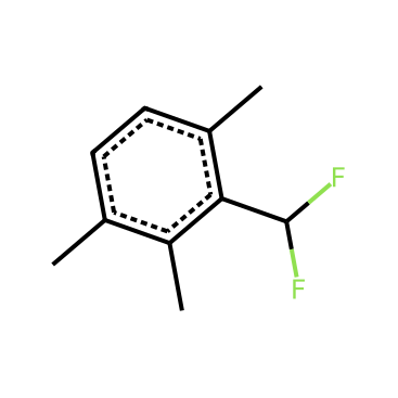 Cc1ccc(C)c(C(F)F)c1C